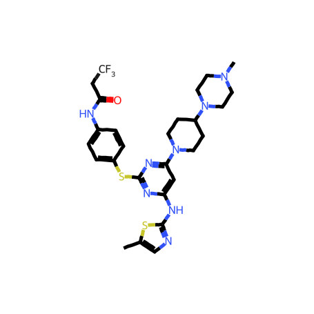 Cc1cnc(Nc2cc(N3CCC(N4CCN(C)CC4)CC3)nc(Sc3ccc(NC(=O)CC(F)(F)F)cc3)n2)s1